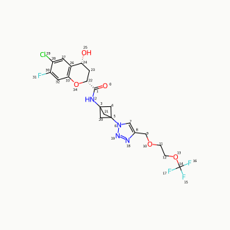 O=C(NC12CC(n3cc(COCCOC(F)(F)F)nn3)(C1)C2)[C@H]1C[C@@H](O)c2cc(Cl)c(F)cc2O1